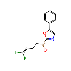 [O-][S+](CCC=C(F)F)c1ncc(-c2ccccc2)o1